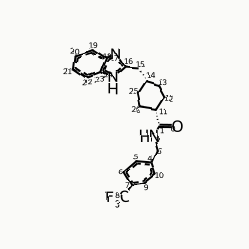 O=C(NCc1ccc(C(F)(F)F)cc1)[C@H]1CC[C@@H](Cc2nc3ccccc3[nH]2)CC1